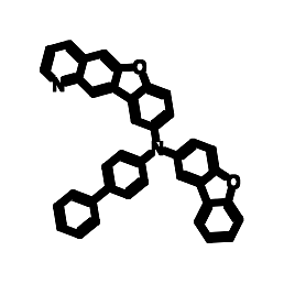 c1ccc(-c2ccc(N(c3ccc4oc5ccccc5c4c3)c3ccc4oc5cc6cccnc6cc5c4c3)cc2)cc1